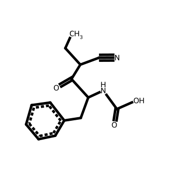 CCC(C#N)C(=O)C(Cc1ccccc1)NC(=O)O